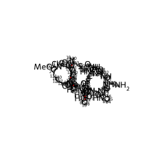 COc1cc2cc(c1Cl)N(C)C(=O)C[C@H](OC(=O)[C@H](C)N(C)C(=O)CCSSC(C)(C)[C@H](NC(=O)[C@@H]1CSSC[C@H](NC(=O)[C@@H](Cc3ccccc3)NC(=O)NCc3ccccc3)C(=O)N[C@@H](Cc3ccc(O)cc3)C(=O)N[C@H](Cc3c[nH]c4ccccc34)C(=O)N[C@@H](CCCCN)C(=O)N[C@@H]([C@@H](C)O)C(=O)N1)C(N)=O)[C@]1(C)O[C@H]1[C@H](C)[C@@H]1C[C@@](O)(NC(=O)O1)[C@H](OC)/C=C/C=C(\C)C2